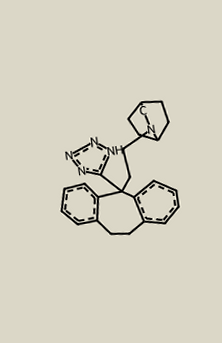 c1ccc2c(c1)CCc1ccccc1C2(CCN1CC2CCC1CC2)c1nnn[nH]1